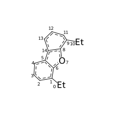 CCc1cccc2c1oc1c(CC)cccc12